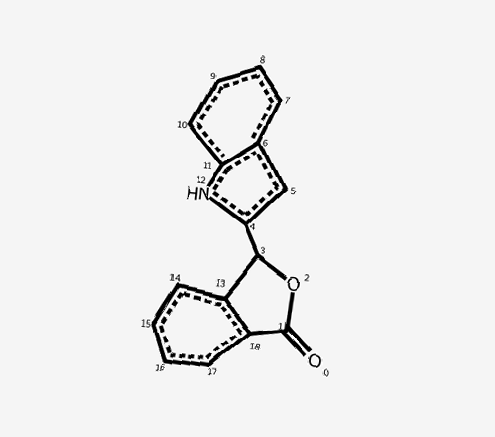 O=C1OC(c2cc3ccccc3[nH]2)c2ccccc21